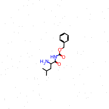 CC(C)CC(N)C(=O)NC(=O)OCc1ccccc1